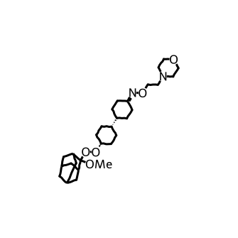 COC1(OO[C@H]2CC[C@@H](C3CCC(=NOCCN4CCOCC4)CC3)CC2)C2CC3CC(C2)CC1C3